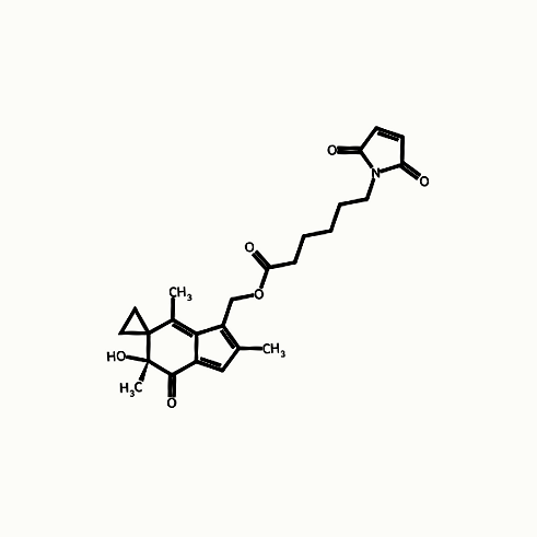 CC1=C(COC(=O)CCCCCN2C(=O)C=CC2=O)C2=C(C)C3(CC3)[C@@](C)(O)C(=O)C2=C1